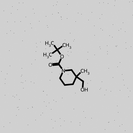 CC1(CO)CCCN(C(=O)OC(C)(C)C)C1